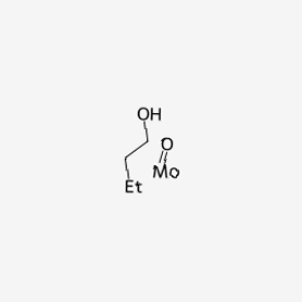 CCCCO.[O]=[Mo]